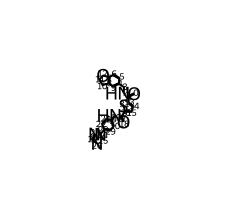 O=C(NCc1ccc2c(c1)CCO2)c1ccc(C(=O)Nc2ccc(-n3cncn3)cc2)s1